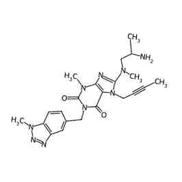 CC#CCn1c(N(C)CC(C)N)nc2c1c(=O)n(Cc1ccc3c(c1)nnn3C)c(=O)n2C